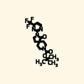 CC(C)(C)OC(=O)N1CCC2(CC1)CCN(c1nccc(C(F)(F)F)n1)C2=O